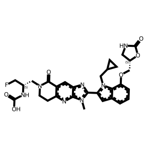 Cn1c(-c2cc3cccc(OC[C@@H]4CNC(=O)O4)c3n2CC2CC2)nc2cc3c(nc21)CCN(C[C@@H](CF)NC(=O)O)C3=O